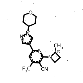 C[C@H]1CCN1c1nc(-c2cnn(C3CCOCC3)c2)cc(C(F)(F)F)c1C#N